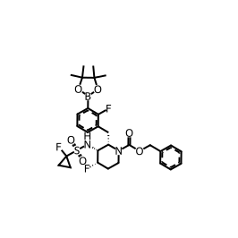 CC1(C)OB(c2cccc(C[C@H]3[C@@H](NS(=O)(=O)C4(F)CC4)[C@@H](F)CCN3C(=O)OCc3ccccc3)c2F)OC1(C)C